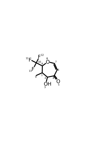 CC1C(O)C(=O)C=COC1C(F)(F)F